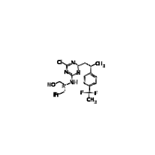 CC(C)C[C@H](CO)Nc1nc(Cl)nc(CC(C)c2ccc(C(C)(F)F)cc2)n1